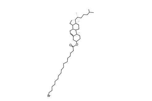 CC(C)CCC[C@@H](C)[C@H]1CCC2C3CC=C4CC(OC(=O)CCCCCCCCCCCCCCCCBr)CC[C@]4(C)C3CC[C@@]21C